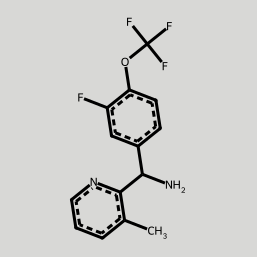 Cc1cccnc1C(N)c1ccc(OC(F)(F)F)c(F)c1